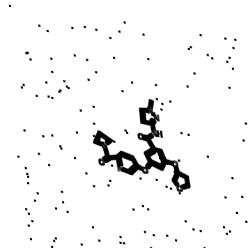 Cn1ccc(NC(=O)c2cc(Oc3ccc(C(=O)N4CCC4)nc3)cc(OC3CCOC3)c2)n1